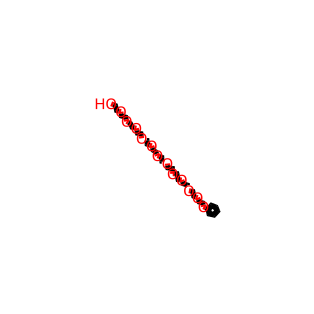 OCCOCCOCCOCCOCCOCCOCCOCCOCCOCCOCCOCCOc1ccccc1